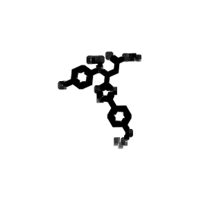 COC(=O)CC(c1nc(-c2ccc(OC(F)(F)F)cc2)no1)N(C=O)c1ccc(Cl)cc1